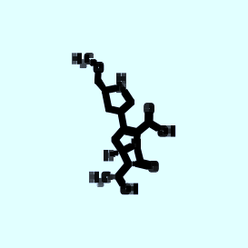 COC[C@@H]1CC(C2=C(C(=O)O)N3C(=O)[C@H]([C@@H](C)O)[C@H]3C2)CN1